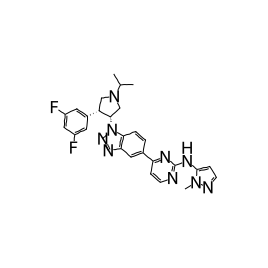 CC(C)N1C[C@@H](c2cc(F)cc(F)c2)[C@@H](n2nnc3cc(-c4ccnc(Nc5ccnn5C)n4)ccc32)C1